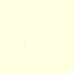 O=C(Nc1c(-c2ccccc2)c2cc(Br)ccc2c(=O)n1Cc1ccc2c(c1)OCO2)OCc1ccccc1